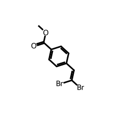 COC(=O)c1ccc(C=C(Br)Br)cc1